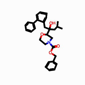 CC(C)CC(O)(Cc1ccccc1-c1ccccc1)C1CN(C(=O)OCc2ccccc2)CCO1